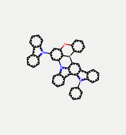 c1ccc(-n2c3ccccc3c3cc4c5c(c6ccccc6n5-c5cc(-n6c7ccccc7c7ccccc76)cc6c5B4c4ccccc4O6)c32)cc1